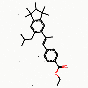 CCOC(=O)c1ccc(C=C(C)c2cc3c(cc2CC(C)C)C(C)(C)C(C)C3(C)C)cc1